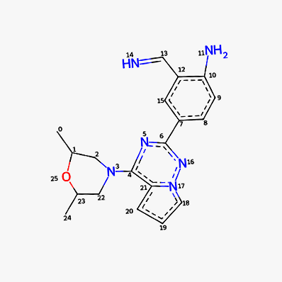 CC1CN(c2nc(-c3ccc(N)c(C=N)c3)nn3cccc23)CC(C)O1